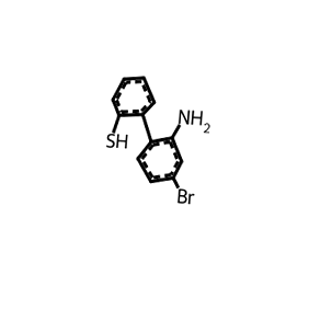 Nc1cc(Br)ccc1-c1ccccc1S